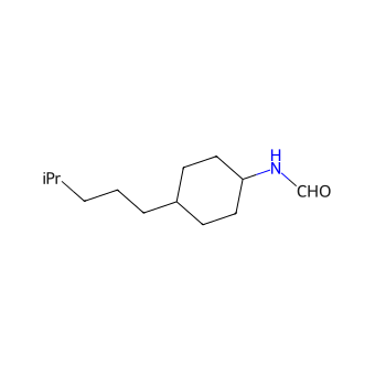 CC(C)CCCC1CCC(NC=O)CC1